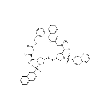 CN(CC(=O)OCc1ccccc1)C(=O)C1CC(SS[C@@H]2C[C@@H](C(=O)N(C)CC(=O)OCc3ccccc3)N(S(=O)(=O)c3ccc4ccccc4c3)C2)CN1S(=O)(=O)c1ccc2ccccc2c1